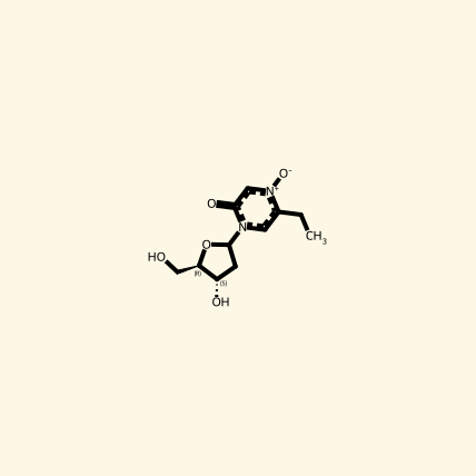 CCc1cn(C2C[C@H](O)[C@@H](CO)O2)c(=O)c[n+]1[O-]